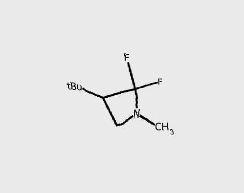 CN1CC(C(C)(C)C)C1(F)F